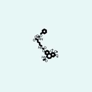 COc1cc2c(c(OC)c1OC)-c1ccc(OC(=O)NCCCCC(NC(=O)OCc3ccccc3)C(=O)O)cc1[C@@H](NC(C)=O)CC2